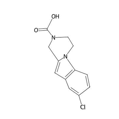 O=C(O)N1CCn2c(cc3cc(Cl)ccc32)C1